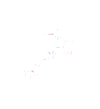 COC(=O)CCCCC(=O)NC1CN(C(=O)O)CC(O)C1O